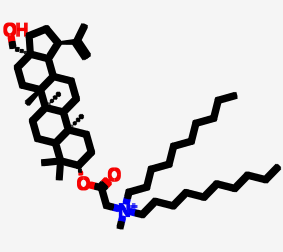 C=C(C)[C@@H]1CC[C@]2(CO)CC[C@]3(C)C(CCC4[C@@]5(C)CC[C@H](OC(=O)C[N+](C)(CCCCCCCCCC)CCCCCCCCCC)C(C)(C)C5CC[C@]43C)C12